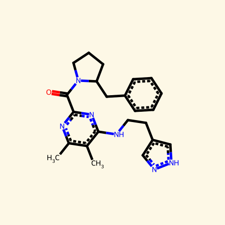 Cc1nc(C(=O)N2CCCC2Cc2ccccc2)nc(NCCc2cn[nH]c2)c1C